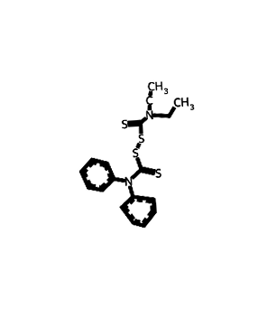 CCN(CC)C(=S)SSC(=S)N(c1ccccc1)c1ccccc1